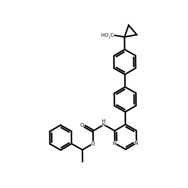 CC(OC(=O)Nc1ncncc1-c1ccc(-c2ccc(C3(C(=O)O)CC3)cc2)cc1)c1ccccc1